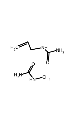 C=CCNC(N)=O.CNC(N)=O